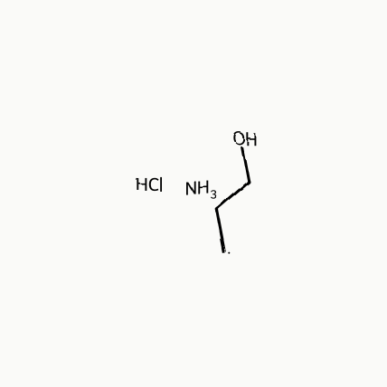 Cl.N.[CH2]CCO